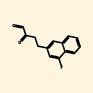 O=CC(=O)CCc1cc(F)c2ccccc2c1